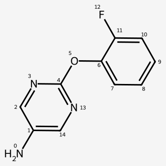 Nc1cnc(Oc2ccccc2F)nc1